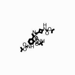 CC(C)OC(=O)Nc1ccc(-c2cnc(C3CC(NC(=O)OC(C)C)C3)s2)c(S(=O)(=O)NC(C)(C)C)c1